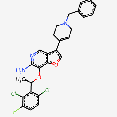 C[C@@H](Oc1c(N)ncc2c(C3=CCN(Cc4ccccc4)CC3)coc12)c1c(Cl)ccc(F)c1Cl